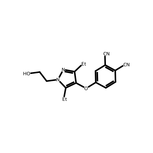 CCc1nn(CCO)c(CC)c1Oc1ccc(C#N)c(C#N)c1